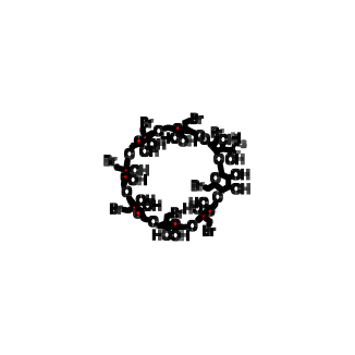 CC(O)C(O)C1OC2OC(CBr)C(OC3OC(CBr)C(OC4OC(CBr)C(OC5OC(CBr)C(OC6OC(CBr)C(OC7OC(CBr)C(OC8OC(CBr)C(OOC1CBr)C(O)C8O)C(O)C7O)C(O)C6O)C(O)C5O)C(O)C4O)C(O)C3O)C(O)C2O